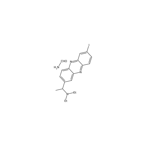 CCN(CC)C(C)c1ccc2nc3cc(I)ccc3nc2c1.NC=O